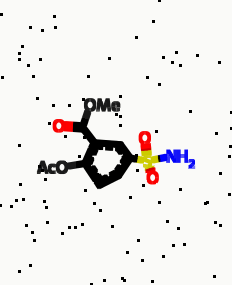 COC(=O)c1cc(S(N)(=O)=O)ccc1OC(C)=O